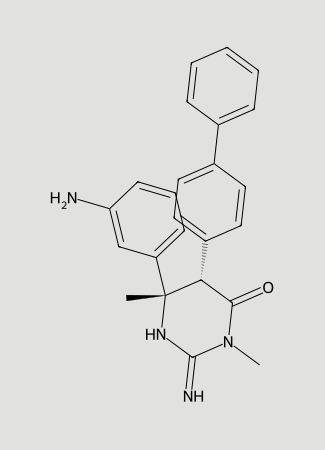 CN1C(=N)N[C@](C)(c2cccc(N)c2)[C@H](c2ccc(-c3ccccc3)cc2)C1=O